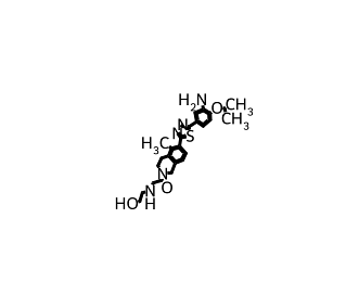 Cc1c(-c2nnc(-c3ccc(OC(C)C)c(N)c3)s2)ccc2c1CCN(C(=O)CNCCO)C2